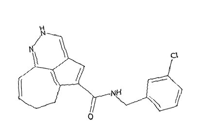 O=C(NCc1cccc(Cl)c1)c1cc2c[nH]nc3c-2c1CCC=C3